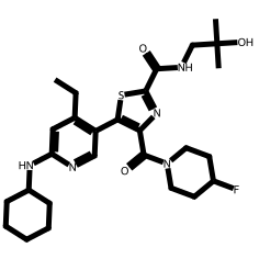 CCc1cc(NC2CCCCC2)ncc1-c1sc(C(=O)NCC(C)(C)O)nc1C(=O)N1CCC(F)CC1